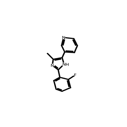 Cc1nc(-c2ccccc2F)[nH]c1-c1cccnc1